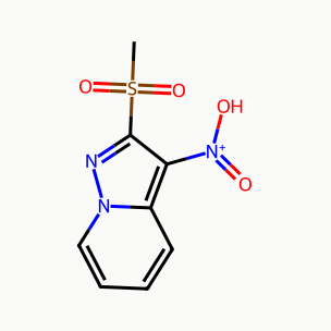 CS(=O)(=O)c1nn2ccccc2c1[N+](=O)O